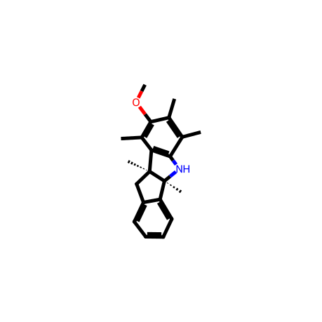 COc1c(C)c(C)c2c(c1C)[C@]1(C)Cc3ccccc3[C@]1(C)N2